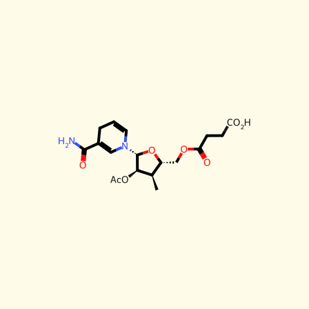 CC(=O)O[C@@H]1[C@H](C)[C@@H](COC(=O)CCC(=O)O)O[C@H]1N1C=CCC(C(N)=O)=C1